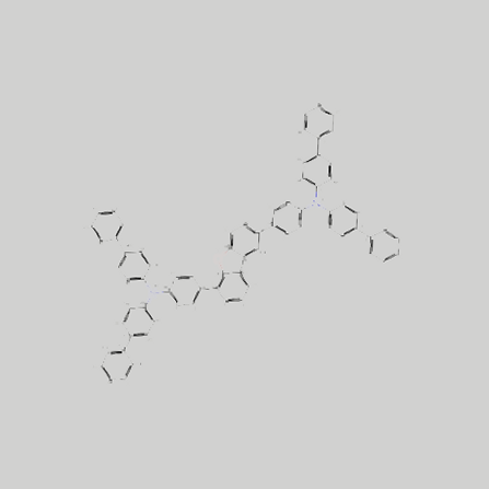 c1ccc(-c2ccc(N(c3ccc(-c4ccccc4)cc3)c3ccc(-c4ccc5oc6c(-c7ccc(N(c8ccc(-c9ccccc9)cc8)c8ccc(-c9ccccc9)cc8)cc7)cccc6c5c4)cc3)cc2)cc1